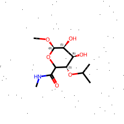 CNC(=O)C1O[C@@H](OC)[C@@H](O)[C@@H](O)[C@@H]1OC(C)C